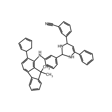 CC1(C)c2ccccc2-c2ccc(C3C=CC=CC3)c(Nc3cccc(C4NC(c5ccccc5)=CC(c5cccc(C#N)c5)N4)c3)c21